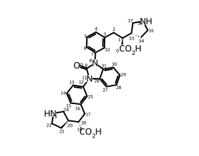 O=C(O)[C@@H](Cc1cccc(-n2c(=O)n(-c3cccc(C[C@H](C(=O)O)[C@H]4CCNC4)c3)c3ccccc32)c1)[C@H]1CCNC1